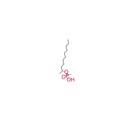 CCCCCCCCCC(C)OP(C)(=O)O